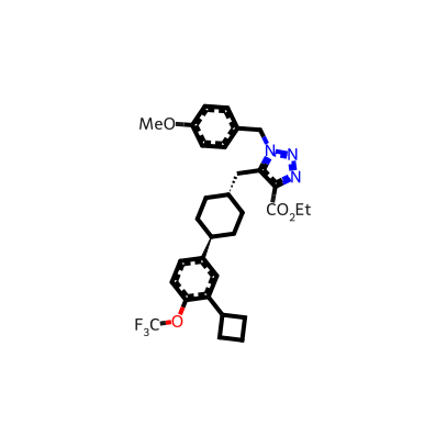 CCOC(=O)c1nnn(Cc2ccc(OC)cc2)c1C[C@H]1CC[C@H](c2ccc(OC(F)(F)F)c(C3CCC3)c2)CC1